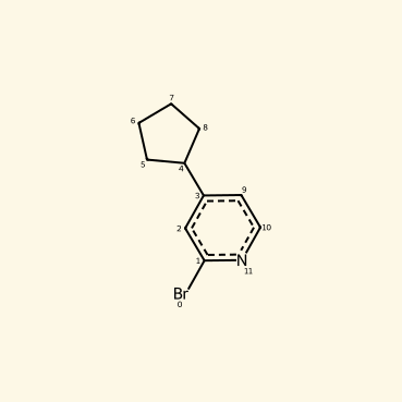 Brc1cc(C2CCCC2)ccn1